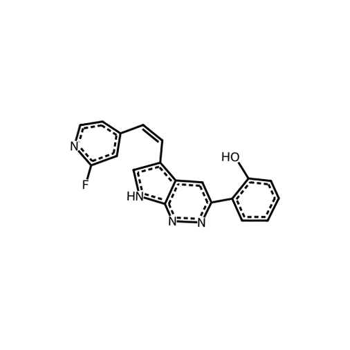 Oc1ccccc1-c1cc2c(/C=C\c3ccnc(F)c3)c[nH]c2nn1